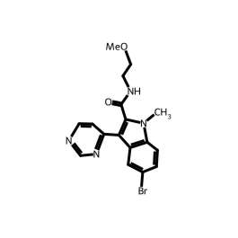 COCCNC(=O)c1c(-c2ccncn2)c2cc(Br)ccc2n1C